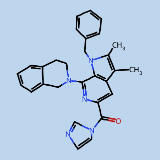 Cc1c(C)n(Cc2ccccc2)c2c(N3CCc4ccccc4C3)nc(C(=O)n3ccnc3)cc12